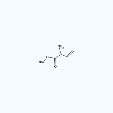 C=CC(N)C(=O)OC(C)(C)C